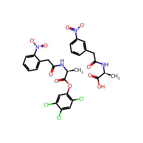 C[C@H](NC(=O)Cc1cccc([N+](=O)[O-])c1)C(=O)O.C[C@H](NC(=O)Cc1ccccc1[N+](=O)[O-])C(=O)Oc1cc(Cl)c(Cl)cc1Cl